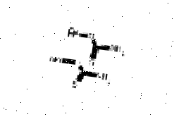 CCCOC(N)=S.CCCOC(N)=S.[Cu]